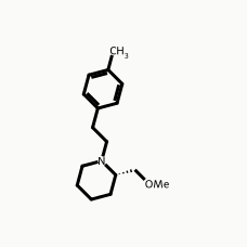 COC[C@@H]1CCCCN1CCc1ccc(C)cc1